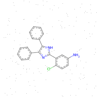 Nc1ccc(Cl)c(-c2nc(-c3ccccc3)c(-c3ccccc3)[nH]2)c1